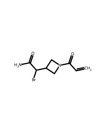 C=CC(=O)N1CC(C(Br)C(N)=O)C1